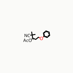 CC(=O)O[C@@H](CCOc1ccccc1)C(C)(C)C#N